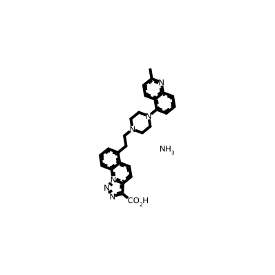 Cc1ccc2c(N3CCN(CCc4cccc5c4ccc4c(C(=O)O)nnn45)CC3)cccc2n1.N